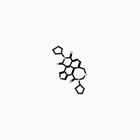 O=C1c2c3cscc3c3c4c(ccc(c24)COCN1C1CCCC1)C(=O)N(C1CCCC1)C3=O